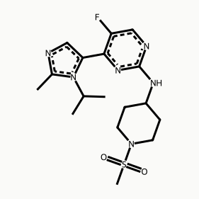 Cc1ncc(-c2nc(NC3CCN(S(C)(=O)=O)CC3)ncc2F)n1C(C)C